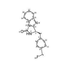 O=C1N[C@H](Cc2ccc(CF)cc2)c2nc3ccccc3n21